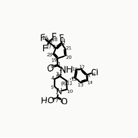 O=C(N[C@@H]1CCN(C(=O)O)C[C@H]1c1ccc(Cl)cc1)c1ccc(F)c(C(F)(F)F)c1